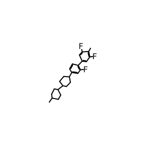 Cc1c(F)cc(-c2ccc(C3CCC(C4CCC(C)CC4)CC3)cc2F)cc1F